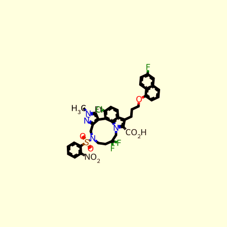 CCc1c2c(nn1C)CN(S(=O)(=O)c1ccccc1[N+](=O)[O-])CCC(F)(F)Cn1c(C(=O)O)c(CCCOc3cccc4cc(F)ccc34)c3ccc(Cl)c-2c31